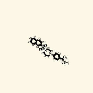 O=C(O)c1ccc(N2CCCN(S(=O)(=O)c3ccc4ccccc4c3)CC2)cc1